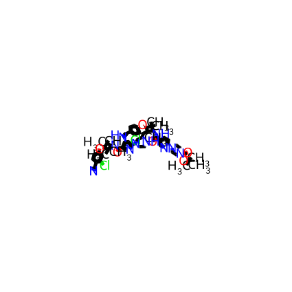 CC(C)(C)OC(=O)N1CCN(c2ccc(C(=O)N[C@@H]3C(C)(C)[C@@H](Oc4ccc(C#N)c(Cl)c4)C3(C)CC3CN(c4ccc(C(=O)N[C@H]5C(C)(C)[C@H](Oc6ccc(C#N)c(Cl)c6)C5(C)C)cn4)CCN3)cn2)CC1